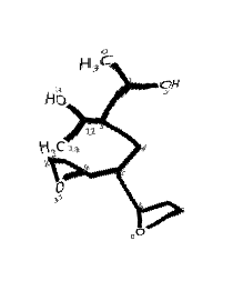 CC(O)C(CC(C1CO1)C1CO1)C(C)O